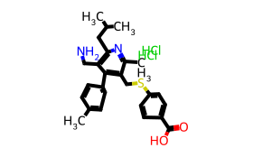 Cc1ccc(-c2c(CSc3ccc(C(=O)O)cc3)c(C)nc(CC(C)C)c2CN)cc1.Cl.Cl